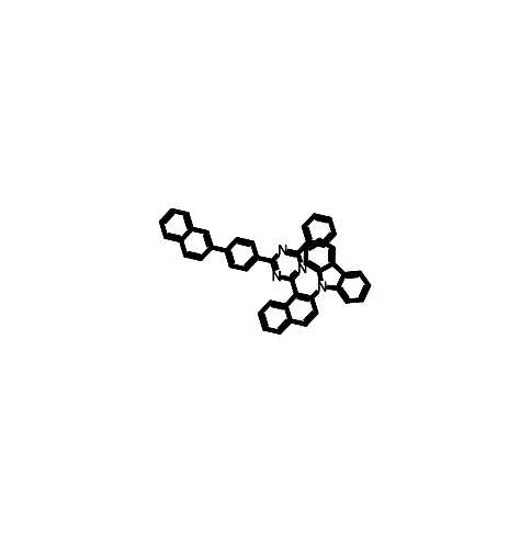 c1ccc(-c2nc(-c3ccc(-c4ccc5ccccc5c4)cc3)nc(-c3c(-n4c5ccccc5c5ccccc54)ccc4ccccc34)n2)cc1